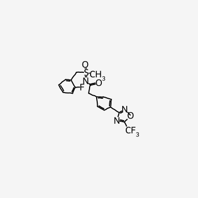 CS(=O)(Cc1ccccc1F)=NC(=O)Cc1ccc(-c2noc(C(F)(F)F)n2)cc1